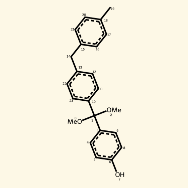 COC(OC)(c1ccc(O)cc1)c1ccc(Cc2ccc(C)cc2)cc1